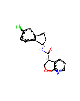 O=C(N[C@H]1CCc2cc(Cl)ccc21)[C@@H]1COc2ncccc21